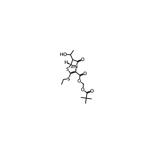 CCSC1=C(C(=O)OCOC(=O)C(C)(C)C)N2C(=O)C(C(C)O)[C@H]2S1